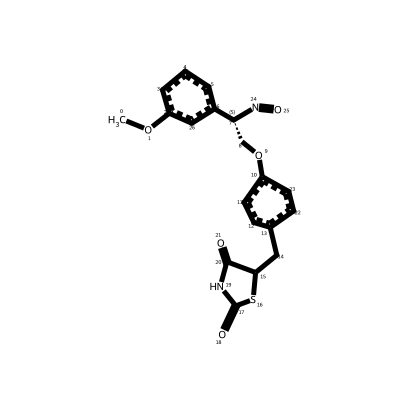 COc1cccc([C@@H](COc2ccc(CC3SC(=O)NC3=O)cc2)N=O)c1